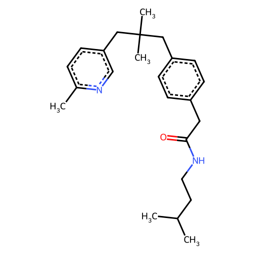 Cc1ccc(CC(C)(C)Cc2ccc(CC(=O)NCCC(C)C)cc2)cn1